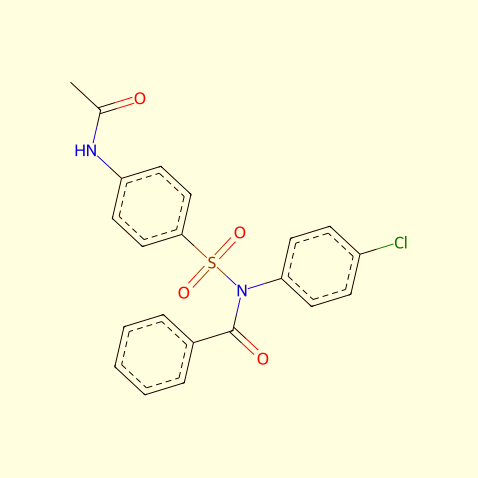 CC(=O)Nc1ccc(S(=O)(=O)N(C(=O)c2ccccc2)c2ccc(Cl)cc2)cc1